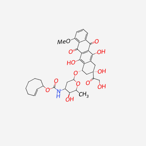 COc1cccc2c1C(=O)c1c(O)c3c(c(O)c1C2=O)C[C@@](O)(C(=O)CO)C[C@@H]3OC1CC(NC(=O)OC2/C=C/CCCCC2)[C@H](O)C(C)O1